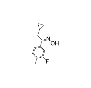 Cc1ccc(/C(CC2CC2)=N\O)cc1F